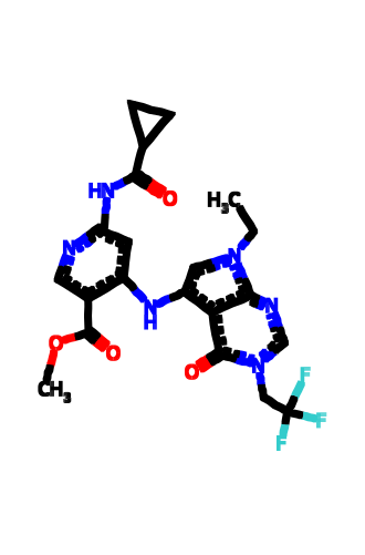 CCn1cc(Nc2cc(NC(=O)C3CC3)ncc2C(=O)OC)c2c(=O)n(CC(F)(F)F)cnc21